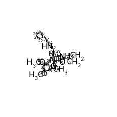 C=CC(=C)C(=O)NC(CC)(CCCNCCCc1ccccc1)C(=O)NCc1c(OC)cc(OC)cc1OC